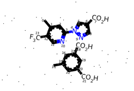 Cc1cc(-n2cc(C(=O)O)cn2)ncc1C(F)(F)F.Cc1cc(C(=O)O)cc(C(=O)O)c1